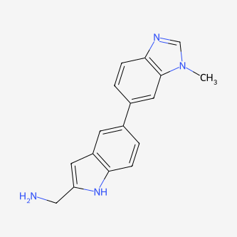 Cn1cnc2ccc(-c3ccc4[nH]c(CN)cc4c3)cc21